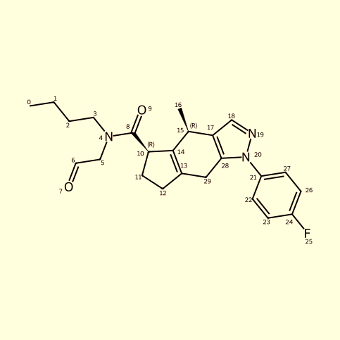 CCCCN(CC=O)C(=O)[C@@H]1CCC2=C1[C@@H](C)c1cnn(-c3ccc(F)cc3)c1C2